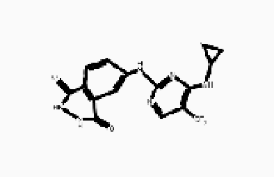 O=c1[nH][nH]c(=O)c2cc(Nc3ncc(C(F)(F)F)c(NC4CC4)n3)ccc12